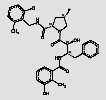 Cc1cccc(Cl)c1CNC(=O)[C@@H]1C[C@H](F)CN1C(=O)[C@@H](O)[C@H](Cc1ccccc1)NC(=O)c1cccc(O)c1C